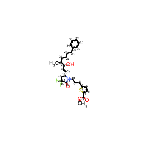 COC(=O)c1ccc(CCCN2C(=O)C(F)(F)C[C@@H]2C=C[C@@H](O)[C@@H](C)CCCCc2ccccc2)s1